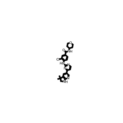 CC1(C)CNc2ncc(-c3ccnc(Nc4ccc(C(=O)NC5CCOCC5)cc4Cl)n3)cc21